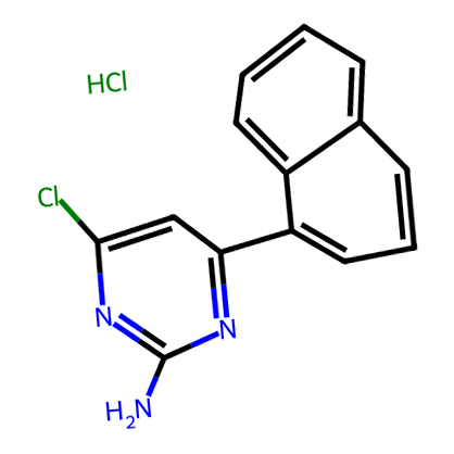 Cl.Nc1nc(Cl)cc(-c2cccc3ccccc23)n1